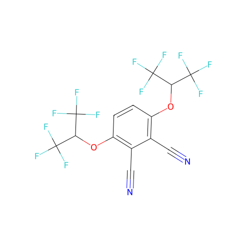 N#Cc1c(OC(C(F)(F)F)C(F)(F)F)ccc(OC(C(F)(F)F)C(F)(F)F)c1C#N